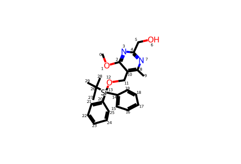 COc1nc(CO)nc(C)c1CO[Si](c1ccccc1)(c1ccccc1)C(C)(C)C